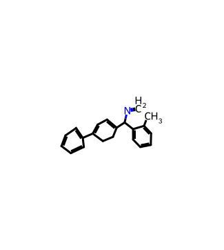 C=NC(C1=CC=C(c2ccccc2)CC1)c1ccccc1C